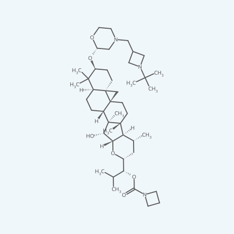 CC(C)[C@@H](OC(=O)N1CCC1)[C@H]1C[C@@H](C)[C@H]2[C@H](O1)[C@H](O)[C@@]1(C)[C@@H]3CC[C@H]4C(C)(C)[C@@H](O[C@H]5CN(CC6CN(C(C)(C)C)C6)CCO5)CC[C@@]45C[C@@]35CC[C@]21C